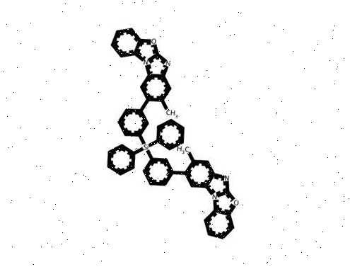 Cc1cc2nc3oc4ccccc4n3c2cc1-c1cccc([Si](c2ccccc2)(c2ccccc2)c2cccc(-c3cc4c(cc3C)nc3oc5ccccc5n34)c2)c1